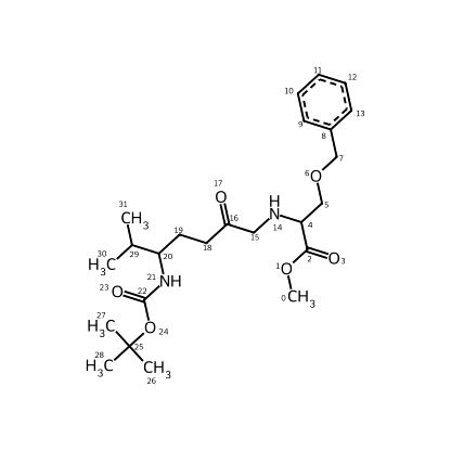 COC(=O)C(COCc1ccccc1)NCC(=O)CCC(NC(=O)OC(C)(C)C)C(C)C